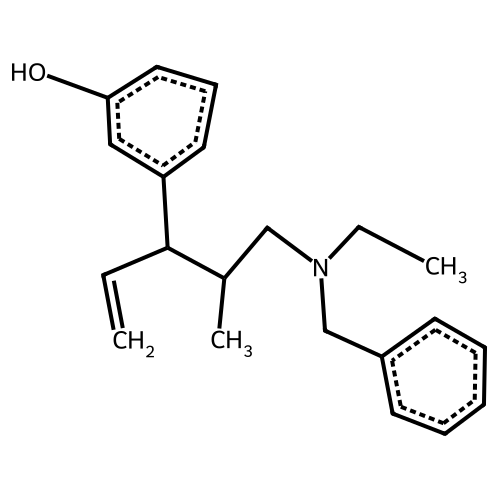 C=CC(c1cccc(O)c1)C(C)CN(CC)Cc1ccccc1